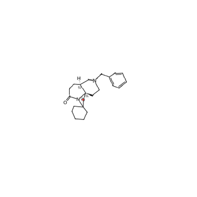 O=C1CC[C@H]2CN(Cc3ccccc3)CC[C@]23OCC2(CCCCC2)N13